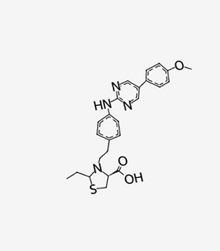 CCC1SC[C@H](C(=O)O)N1CCc1ccc(Nc2ncc(-c3ccc(OC)cc3)cn2)cc1